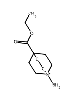 B[N+]12CCC(C(=O)OCC)(CC1)CC2